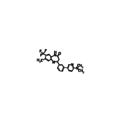 Cc1cc2c(cc1C(F)(F)F)NC(=O)CC(c1cccc(-c3ccc(N(C)C)nc3)c1)=N2